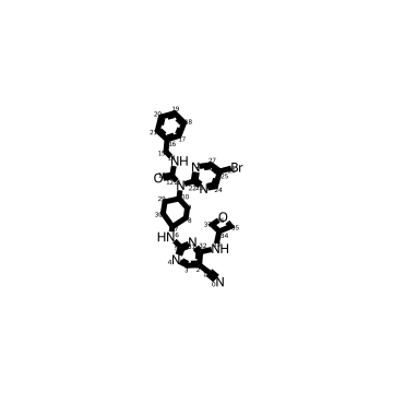 N#Cc1cnc(NC2CCC(N(C(=O)NCc3ccccc3)c3ncc(Br)cn3)CC2)nc1NC1COC1